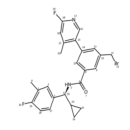 Cc1cc([C@@H](NC(=O)c2cc(CBr)cc(-c3cnc(F)cc3C)c2)C2CC2)ccc1F